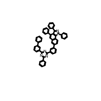 c1ccc(-c2cccc(-c3nc(-c4ccccc4)nc(-c4cccc(-c5ccc6c(c5)cc(-c5ccccc5)c5c(-c7ccccc7)nn(-c7ccccc7)c56)c4)n3)c2)cc1